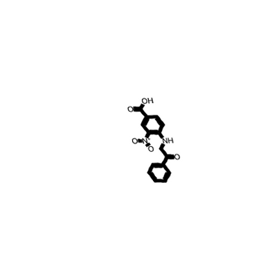 O=C(O)c1ccc(NCC(=O)c2ccccc2)c([N+](=O)[O-])c1